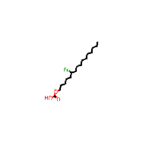 CCCCCCCCCCC(Br)CCCCCOC(=O)O